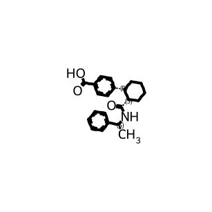 C[C@H](NC(=O)[C@H]1CCCC[C@H]1c1ccc(C(=O)O)cc1)c1ccccc1